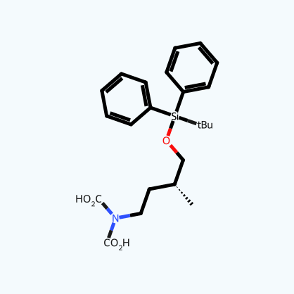 C[C@H](CCN(C(=O)O)C(=O)O)CO[Si](c1ccccc1)(c1ccccc1)C(C)(C)C